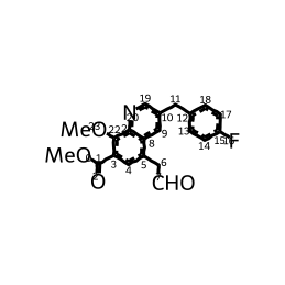 COC(=O)c1cc(CC=O)c2cc(Cc3ccc(F)cc3)cnc2c1OC